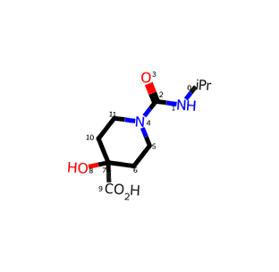 CC(C)NC(=O)N1CCC(O)(C(=O)O)CC1